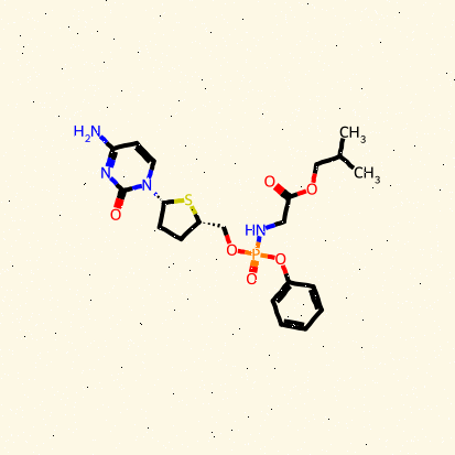 CC(C)COC(=O)CNP(=O)(OC[C@@H]1CC[C@H](n2ccc(N)nc2=O)S1)Oc1ccccc1